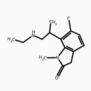 CCNCC(C)c1c(F)ccc2c1N(C)C(=O)C2